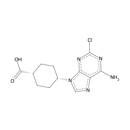 Nc1nc(Cl)nc2c1ncn2[C@H]1CC[C@@H](C(=O)O)CC1